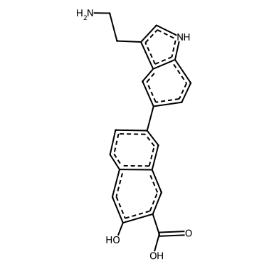 NCCc1c[nH]c2ccc(-c3ccc4cc(O)c(C(=O)O)cc4c3)cc12